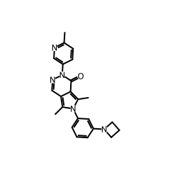 Cc1ccc(-n2ncc3c(C)n(-c4cccc(N5CCC5)c4)c(C)c3c2=O)cn1